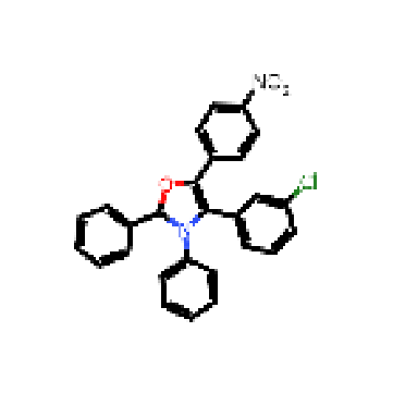 O=[N+]([O-])c1ccc(C2=C(c3cccc(Cl)c3)N(c3ccccc3)C(c3ccccc3)O2)cc1